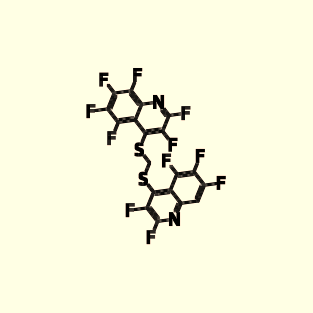 Fc1cc2nc(F)c(F)c(SCSc3c(F)c(F)nc4c(F)c(F)c(F)c(F)c34)c2c(F)c1F